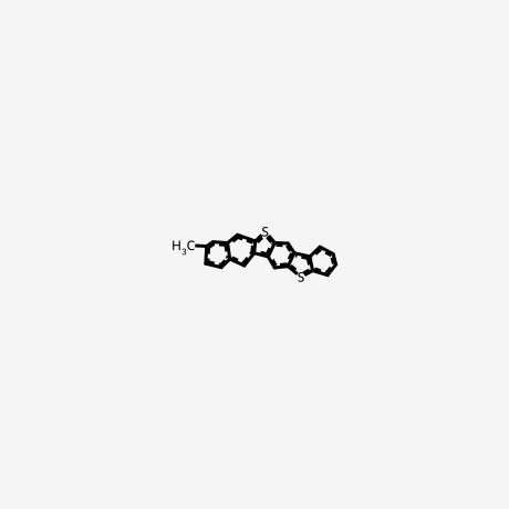 Cc1ccc2cc3c(cc2c1)sc1cc2c(cc13)sc1ccccc12